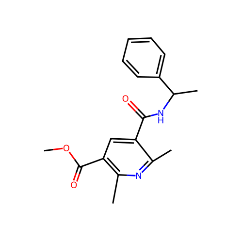 COC(=O)c1cc(C(=O)NC(C)c2ccccc2)c(C)nc1C